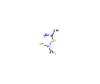 CB(N)ON(C)F